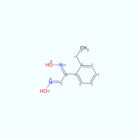 CCc1ccccc1C(C=NO)=NO